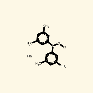 Br.CCOP(c1cc(C)cc(C)c1)c1cc(C)cc(C)c1